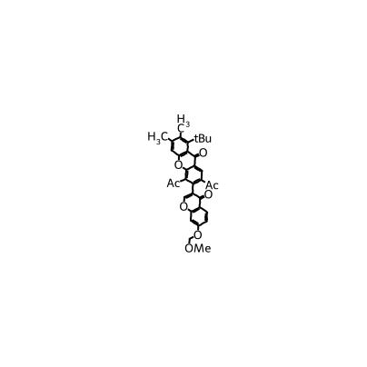 COCOc1ccc2c(=O)c(-c3c(C(C)=O)cc4c(=O)c5c(C(C)(C)C)c(C)c(C)cc5oc4c3C(C)=O)coc2c1